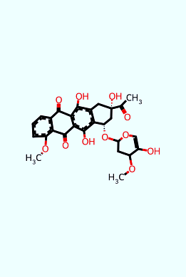 COc1cccc2c1C(=O)c1c(O)c3c(c(O)c1C2=O)C[C@@](O)(C(C)=O)C[C@@H]3OC1CC(OC)C(O)=CO1